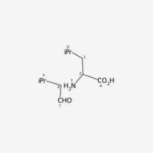 CC(C)CC(N)C(=O)O.CC(C)CC=O